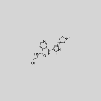 Cc1nn([C@H]2CCN(C)C2)cc1Nc1cnccc1C(=O)NCCO